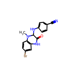 CN1c2ccc(Br)cc2NC(=O)C1Nc1ccc(C#N)cc1